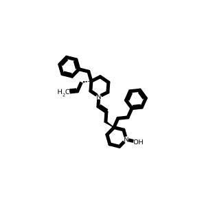 C=CC[C@]1(Cc2ccccc2)CCCN(/C=C/C[C@]2(CCc3ccccc3)CCCN(O)C2)C1